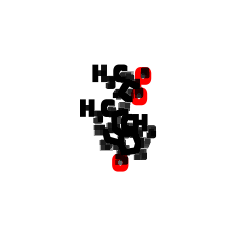 C[C@H](C[C@@H]1C[C@H](C)C(=O)O1)[C@H]1CCC2C(=O)CCC[C@@]21C